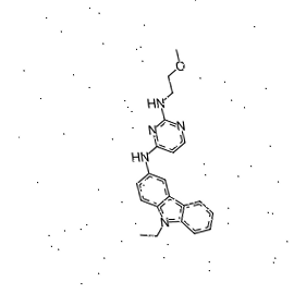 CCn1c2ccccc2c2cc(Nc3ccnc(NCCOC)n3)ccc21